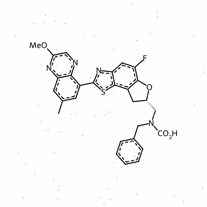 COc1cnc2c(-c3nc4cc(F)c5c(c4s3)C[C@@H](CN(Cc3ccccc3)C(=O)O)O5)cc(C)cc2n1